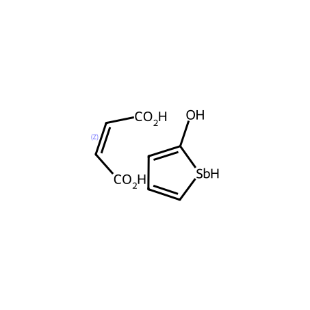 O=C(O)/C=C\C(=O)O.O[C]1=CC=[CH][SbH]1